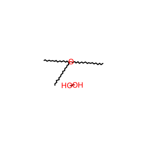 CCCCCCCCCCCCCCCCCCOC(CCCCCCCCCCCCCC)CCCCCCCCCCCCCCC.OCCO